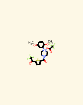 COc1ccc(OC)c([N+]2(OC(=O)C(F)(F)F)CCN(C(=O)c3ccc(C(=O)C(F)(F)F)s3)CC2)c1